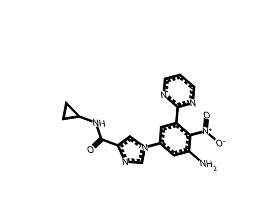 Nc1cc(-n2cnc(C(=O)NC3CC3)c2)cc(-c2ncccn2)c1[N+](=O)[O-]